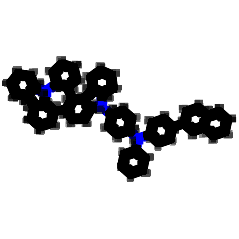 c1ccc(N(c2ccc(-c3ccc4ccccc4c3)cc2)c2ccc(-n3c4ccccc4c4c5c(ccc43)-c3cccc4c6ccccc6n(c34)-c3ccccc3-5)cc2)cc1